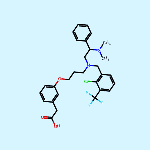 CN(C)C(CN(CCCOc1cccc(CC(=O)O)c1)Cc1cccc(C(F)(F)F)c1Cl)c1ccccc1